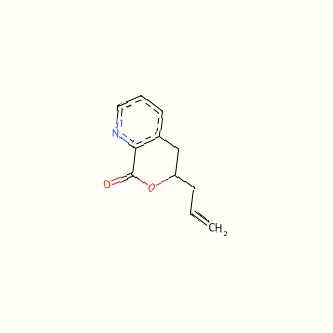 C=CCC1Cc2cccnc2C(=O)O1